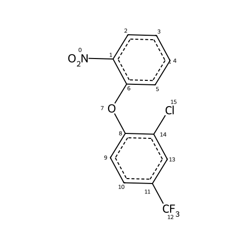 O=[N+]([O-])c1cc[c]cc1Oc1ccc(C(F)(F)F)cc1Cl